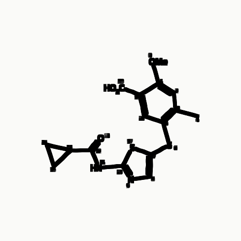 COc1cc(C)c(Sc2cnc(NC(=O)C3CC3)s2)cc1C(=O)O